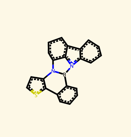 c1ccc2c(c1)B1N(c3ccsc3-2)c2cccc3c4ccccc4n1c23